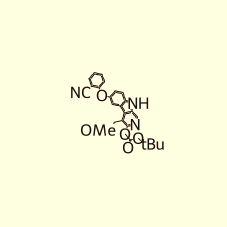 COCc1c(OC(=O)OC(C)(C)C)ncc2[nH]c3ccc(Oc4ccccc4C#N)cc3c12